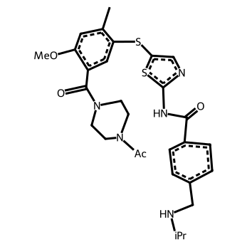 COc1cc(C)c(Sc2cnc(NC(=O)c3ccc(CNC(C)C)cc3)s2)cc1C(=O)N1CCN(C(C)=O)CC1